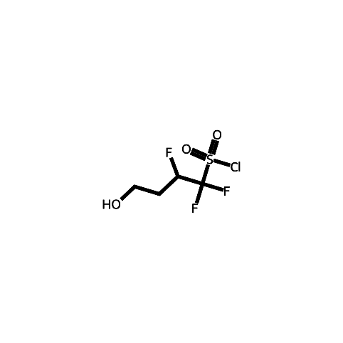 O=S(=O)(Cl)C(F)(F)C(F)CCO